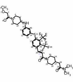 COCC(=O)N1CCC(Nc2cccc(Sc3ccc(/C=C/C(=O)N4CCC(CC(=O)N(C)C)CC4)c(C(F)(F)F)c3C(F)(F)F)c2)CC1